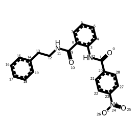 O=C(Nc1ccccc1C(=O)NCCc1ccccc1)c1ccc([N+](=O)[O-])cc1